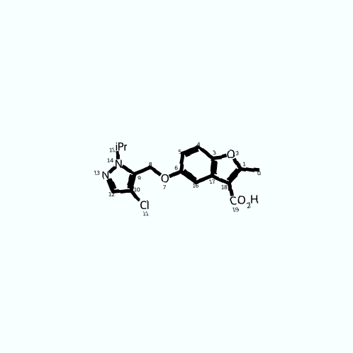 Cc1oc2ccc(OCc3c(Cl)cnn3C(C)C)cc2c1C(=O)O